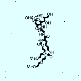 COCCOCCOC(=O)NCCCCC(NC(=O)OCCOCCOC)C(=O)NCC(=O)NC1C(O)CC(OC=O)(OC(C)C)OC1C(O)C(O)CO